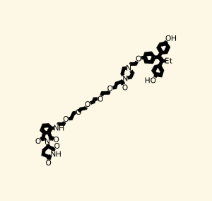 CCC(=C(c1ccc(O)cc1)c1ccc(OCCN2CCN(C(=O)CCOCCOCCOCCOCCOCCNc3cccc4c3C(=O)N(C3CCC(=O)NC3=O)C4=O)CC2)cc1)c1ccc(O)cc1